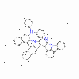 c1ccc(N(c2ccccc2)c2cc3ccccc3c3c4c5ccccc5cc5c6c7c8cccc9c%10ccccc%10n(c7ncc6n(c23)c54)c98)cc1